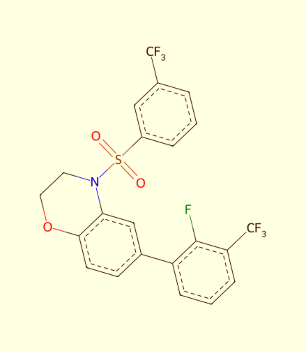 O=S(=O)(c1cccc(C(F)(F)F)c1)N1CCOc2ccc(-c3cccc(C(F)(F)F)c3F)cc21